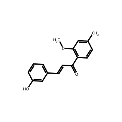 COc1cc(C)ccc1C(=O)/C=C/c1cccc(O)c1